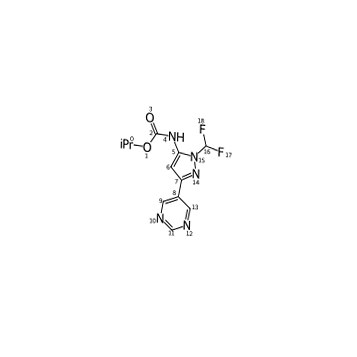 CC(C)OC(=O)Nc1cc(-c2cncnc2)nn1C(F)F